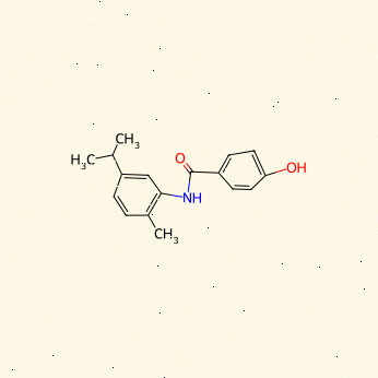 Cc1ccc(C(C)C)cc1NC(=O)c1ccc(O)cc1